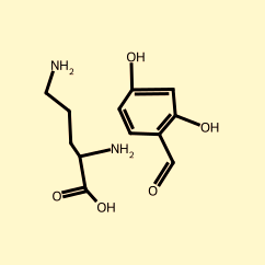 NCCCC(N)C(=O)O.O=Cc1ccc(O)cc1O